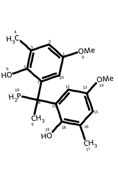 COc1cc(C)c(O)c(C(C)(P)c2cc(OC)cc(C)c2O)c1